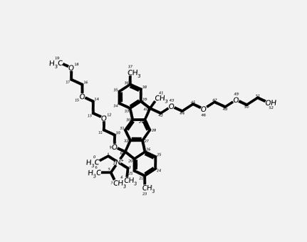 CC[N+](CC)(C(C)C)C1(OCCOCCOCCOC)c2cc(C)ccc2-c2cc3c(cc21)-c1ccc(C)cc1C3(C)COCCOCCOCCO